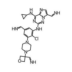 N=Cc1cc(Nc2nc(NC3CC3)c3ncc(C=N)n3n2)c(Cl)c(N2CCN(C3(C=N)COC3)CC2)c1